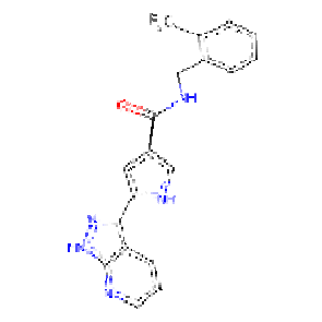 O=C(NCc1ccccc1C(F)(F)F)c1c[nH]c(-c2n[nH]c3ncccc23)c1